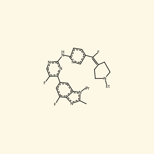 CCN1CCC(=C(F)c2ccc(Nc3ncc(F)c(-c4cc(F)c5nc(C)n(C(C)C)c5c4)n3)nc2)CC1